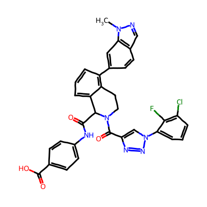 Cn1ncc2ccc(-c3cccc4c3CCN(C(=O)c3cn(-c5cccc(Cl)c5F)nn3)C4C(=O)Nc3ccc(C(=O)O)cc3)cc21